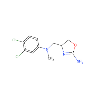 CN(CC1COC(N)=N1)c1ccc(Cl)c(Cl)c1